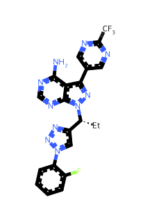 CC[C@H](c1cn(-c2ccccc2F)nn1)n1nc(-c2cnc(C(F)(F)F)nc2)c2c(N)ncnc21